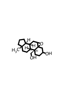 C[C@@]12CCC[C@H]1[C@@H]1CC3OC34CC(O)CC[C@]4(CO)[C@@H]1CC2